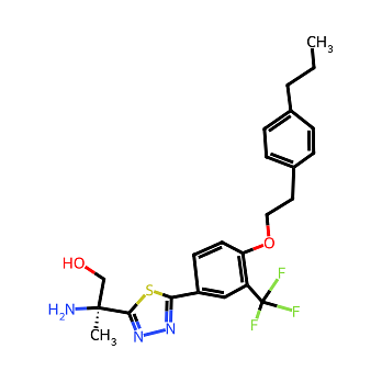 CCCc1ccc(CCOc2ccc(-c3nnc([C@@](C)(N)CO)s3)cc2C(F)(F)F)cc1